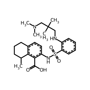 CC1CCCc2ccc(NS(=O)(=O)c3ccccc3NCC(C)(C)CN(C)C)c(C(=O)O)c21